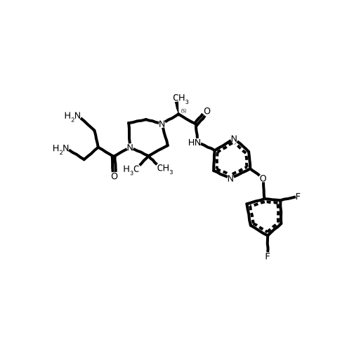 C[C@@H](C(=O)Nc1cnc(Oc2ccc(F)cc2F)cn1)N1CCN(C(=O)C(CN)CN)C(C)(C)C1